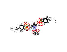 Cc1ccc(S(=O)(=O)OC[C@@H]2C[C@H](COS(=O)(=O)c3ccc(C)cc3)N2C(=O)OC(C)(C)C)cc1